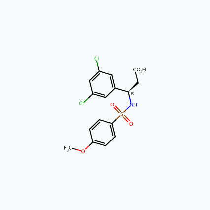 O=C(O)C[C@@H](NS(=O)(=O)c1ccc(OC(F)(F)F)cc1)c1cc(Cl)cc(Cl)c1